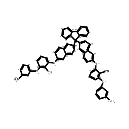 N#Cc1c(Oc2cccc(N)c2)cccc1Oc1ccc2cc(C3(c4ccc5cc(Oc6cccc(Oc7cccc(N)c7)c6C#N)ccc5c4)c4ccccc4-c4ccccc43)ccc2c1